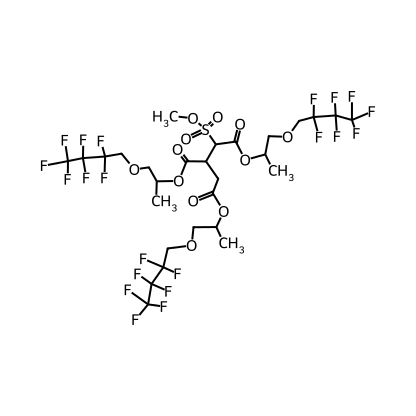 COS(=O)(=O)C(C(=O)OC(C)COCC(F)(F)C(F)(F)C(F)(F)F)C(CC(=O)OC(C)COCC(F)(F)C(F)(F)C(F)(F)F)C(=O)OC(C)COCC(F)(F)C(F)(F)C(F)(F)F